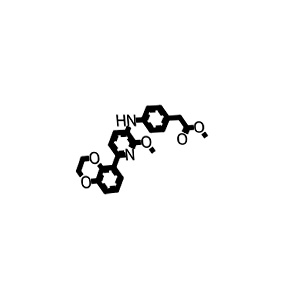 COC(=O)Cc1ccc(Nc2ccc(-c3cccc4c3OCCO4)nc2OC)cc1